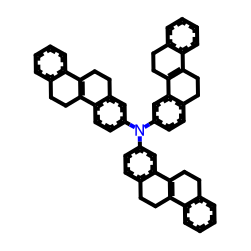 c1ccc2c(c1)CCC1=C2CCc2cc(N(c3ccc4c(c3)C3=C(CC4)c4ccccc4CC3)c3ccc4c(c3)C3=C(CC4)c4ccccc4CC3)ccc21